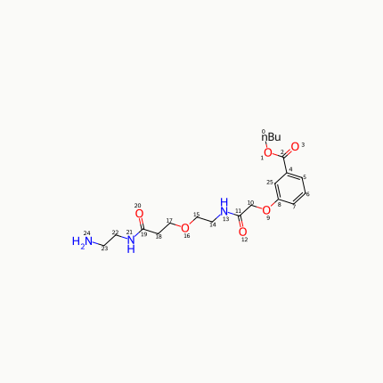 CCCCOC(=O)c1cccc(OCC(=O)NCCOCCC(=O)NCCN)c1